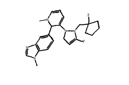 CN1C=CC=C(N2CC=C(F)N2CC2(F)CCCC2)C1c1ccc2c(c1)ncn2C